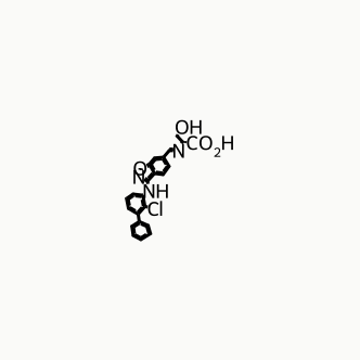 O=C(O)[C@H](CO)N=Cc1ccc2c(Nc3cccc(-c4ccccc4)c3Cl)noc2c1